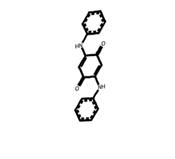 O=C1C=C(Nc2ccccc2)C(=O)C=C1Nc1ccccc1